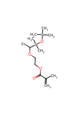 C=C(C)C(=O)OCCOC(CC)[Si](C)(C)O[Si](C)(C)C